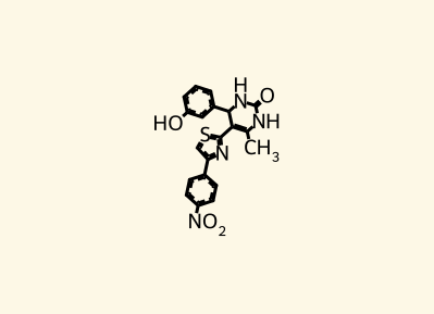 CC1=C(c2nc(-c3ccc([N+](=O)[O-])cc3)cs2)C(c2cccc(O)c2)NC(=O)N1